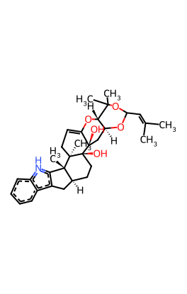 CC(C)=CC1O[C@H]2C[C@@]3(O)C(=CC[C@@]4(C)[C@@]3(O)CC[C@H]3Cc5c([nH]c6ccccc56)[C@@]34C)O[C@@H]2C(C)(C)O1